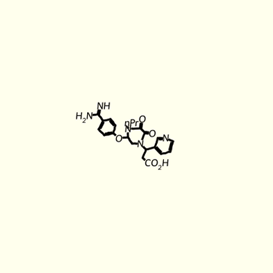 CCCN1C(=O)C(=O)N(C(CC(=O)O)c2cccnc2)CC1Oc1ccc(C(=N)N)cc1